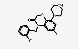 O=C1COc2c(N3CCNCC3)cc(F)cc2N1Cc1ccccc1Cl